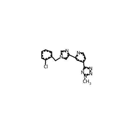 Cn1nnc(-c2ccnc(-c3cn(Cc4ccccc4Cl)cn3)c2)n1